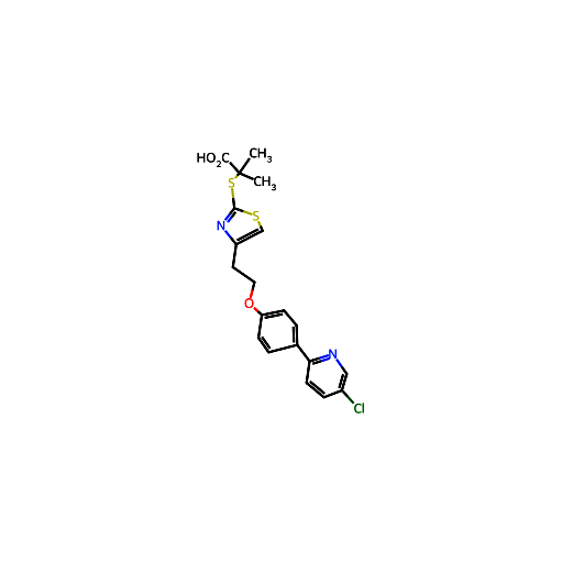 CC(C)(Sc1nc(CCOc2ccc(-c3ccc(Cl)cn3)cc2)cs1)C(=O)O